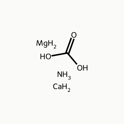 N.O=C(O)O.[CaH2].[MgH2]